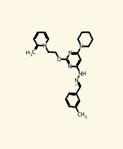 C=C1C=CC=CN1CCOc1nc(N/N=C/c2cccc(C)c2)cc(N2CCCCC2)n1